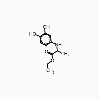 CCOC(=O)C(C)Nc1ccc(O)c(O)c1